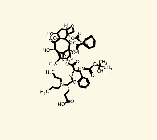 CCCN(CCC)[C@@H](CCC(=O)O)C(=O)O[C@@H](C(=O)O[C@H]1C[C@@]2(O)[C@@H](OC(=O)c3ccccc3)[C@@H]3[C@]4(OC(C)=O)CO[C@@H]4C[C@H](O)[C@@]3(C)C(=O)[C@H](O)C(=C1C)C2(C)C)[C@@H](NC(=O)OC(C)(C)C)c1ccccc1